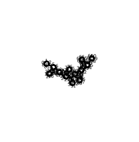 c1ccc(-c2ccc3c4cc5c(cc4n4c6ccccc6c2c34)c2ccc(N(c3ccccc3)c3ccc4c6cc7c(cc6n6c8ccccc8c3c46)c3ccc(-c4ccccc4)c4c6ccccc6n7c34)c3c4ccccc4n5c23)cc1